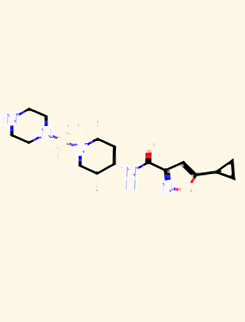 C[C@@H]1CN(S(=O)(=O)N2CCNCC2)[C@H](C)C[C@@H]1NC(=O)c1cc(C2CC2)on1